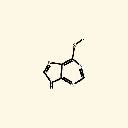 [CH2]Sc1ncnc2[nH]cnc12